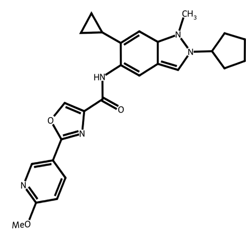 COc1ccc(-c2nc(C(=O)NC3=CC4=CN(C5CCCC5)N(C)C4C=C3C3CC3)co2)cn1